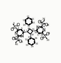 CS(=O)(=O)c1cc([C@H]2[C@H](c3ccccc3)[C@@H](c3cc(S(C)(=O)=O)nc(S(C)(=O)=O)n3)[C@H]2c2ccccc2)nc(S(C)(=O)=O)n1